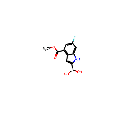 COC(=O)c1cc(F)cc2[nH]c(B(O)O)cc12